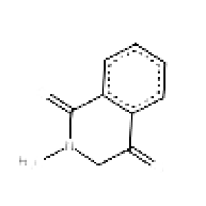 CN1CC(=O)c2ccccc2C1=O